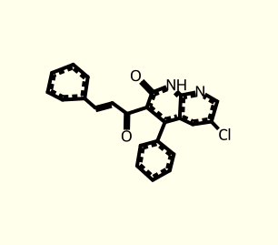 O=C(/C=C/c1ccccc1)c1c(-c2ccccc2)c2cc(Cl)cnc2[nH]c1=O